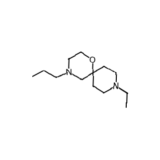 CCCN1CCOC2(CCN(CC)CC2)C1